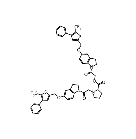 O=C(OCC(=O)N1CCc2cc(OCc3cc(-c4ccccc4)c(C(F)(F)F)s3)ccc21)C1CCCN1CC(=O)N1CCc2cc(OCc3cc(-c4ccccc4)c(C(F)(F)F)s3)ccc21